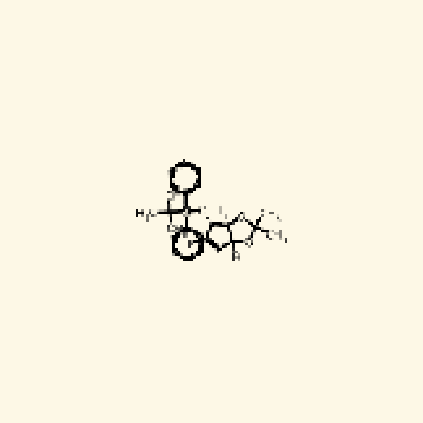 CC1(C)O[C@H]2[C@@H](C=C(I)[C@@H]2O[Si](c2ccccc2)(c2ccccc2)C(C)(C)C)O1